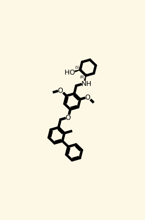 COc1cc(OCc2cccc(-c3ccccc3)c2C)cc(OC)c1CN[C@@H]1CCCC[C@@H]1O